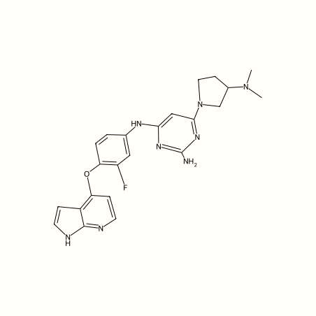 CN(C)C1CCN(c2cc(Nc3ccc(Oc4ccnc5[nH]ccc45)c(F)c3)nc(N)n2)C1